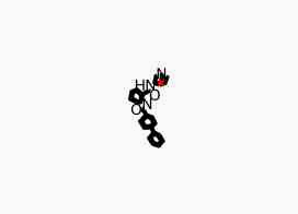 O=C(NC1CN2CCC1CC2)c1cccc2oc(-c3ccc(-c4ccccc4)cc3)nc12